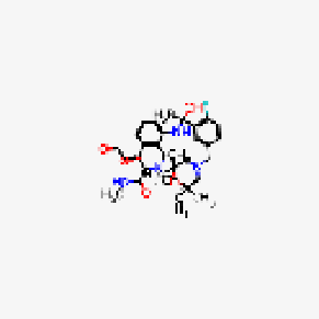 BC(O)(Nc1cccc(C=O)c1CN(C)C(CCC=O)C(=O)NC)c1cc(CN2CC(C)(C)OC(C)(C)C2)ccc1F